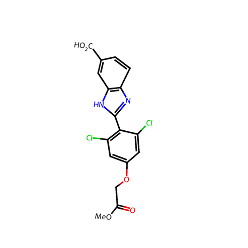 COC(=O)COc1cc(Cl)c(-c2nc3ccc(C(=O)O)cc3[nH]2)c(Cl)c1